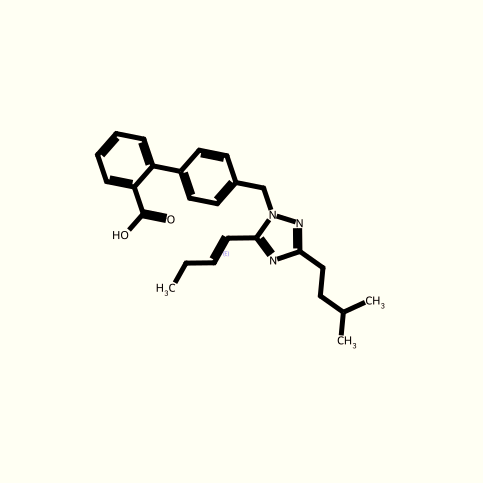 CC/C=C/c1nc(CCC(C)C)nn1Cc1ccc(-c2ccccc2C(=O)O)cc1